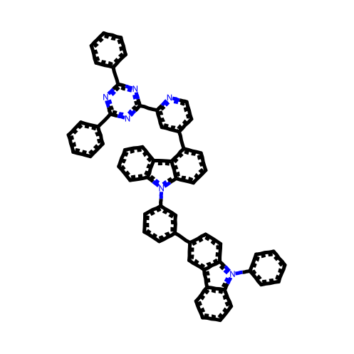 c1ccc(-c2nc(-c3ccccc3)nc(-c3cc(-c4cccc5c4c4ccccc4n5-c4cccc(-c5ccc6c(c5)c5ccccc5n6-c5ccccc5)c4)ccn3)n2)cc1